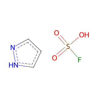 O=S(=O)(O)F.c1cn[nH]c1